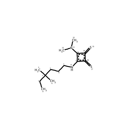 CCC(C)(C)CCCNc1c(N(C)C)c(=S)c1=S